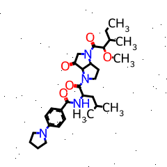 CCC(C)C(OC)C(=O)N1CC(=O)C2C1CCN2C(=O)C(CC(C)C)NC(=O)c1ccc(N2CCCC2)cc1